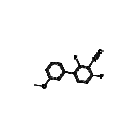 [C-]#[N+]c1c(F)ccc(-c2cccc(OC)c2)c1F